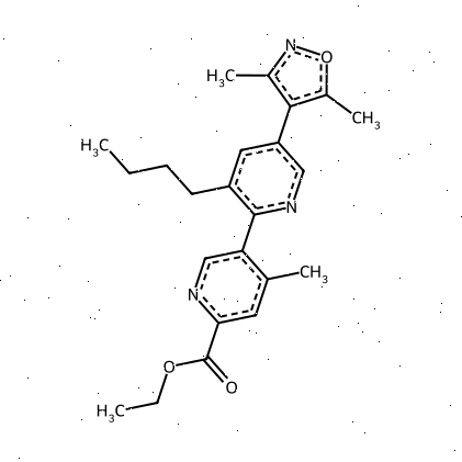 CCCCc1cc(-c2c(C)noc2C)cnc1-c1cnc(C(=O)OCC)cc1C